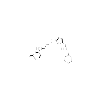 S=c1nc(NCCSCc2ccc(CNCC3CCCCC3)o2)cc[nH]1